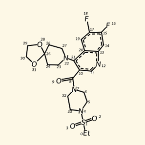 CCS(=O)(=O)N1CCN(C(=O)c2cnc3cc(F)c(F)cc3c2N2CCC3(CC2)OCCO3)CC1